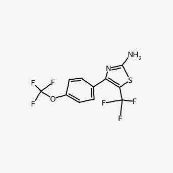 Nc1nc(-c2ccc(OC(F)(F)F)cc2)c(C(F)(F)F)s1